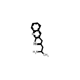 CC(N)CC(=N)Cc1cc2ccccc2nc1Cl